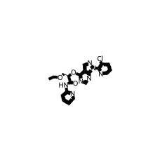 CCOC[C@H](Oc1ncnc2c1cnn2-c1ncccc1Cl)C(=O)Nc1ccccn1